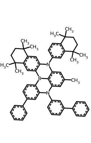 Cc1cc2c3c(c1)N(c1ccc4c(c1)C(C)(C)CCC4(C)C)c1cc4c(cc1B3c1ccc(-c3ccccc3)cc1N2c1cccc(-c2ccccc2)c1)C(C)(C)CCC4(C)C